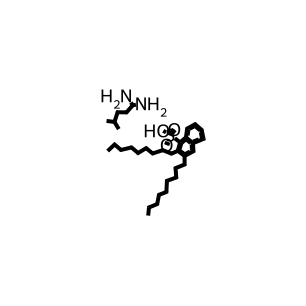 CC(C)CCC(N)N.CCCCCCCCCc1cc2ccccc2c(S(=O)(=O)O)c1CCCCCCCCC